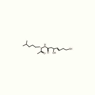 CC(=O)[C@H](CCCCC(C)C)NC(=O)CC(O)/C=C/CCS